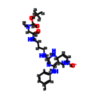 Cc1cccc(NC2=C3C[NH+]([O-])C=CC3NC(NCCCNC(=O)CN(C)C(=O)OC(C)(C)C)=N2)c1